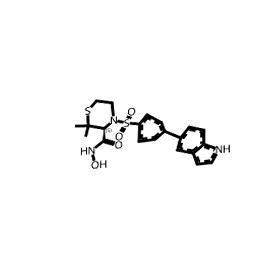 CC1(C)SCCN(S(=O)(=O)c2ccc(-c3ccc4[nH]ccc4c3)cc2)[C@H]1C(=O)NO